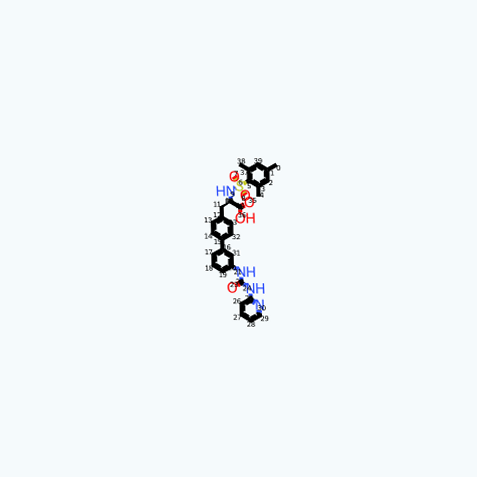 Cc1cc(C)c(S(=O)(=O)N[C@H](Cc2ccc(-c3cccc(NC(=O)Nc4ccccn4)c3)cc2)C(=O)O)c(C)c1